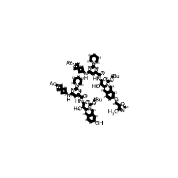 CC(=O)N1CC2(CC(Nc3cc(C(=O)NC[C@@H](O)[C@@H]4Cc5ccc(O)cc5CN4C(=O)OC(C)(C)C)nc(N4CCCCC4)n3)C2)C1.CC(=O)N1CC2(CC(Nc3cc(C(=O)NC[C@@H](O)[C@@H]4Cc5ccc(OCc6ocnc6C)cc5CN4C(=O)OC(C)(C)C)nc(N4CCCCC4)n3)C2)C1